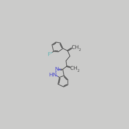 C=C(CCC(=C)c1n[nH]c2ccccc12)c1cccc(F)c1